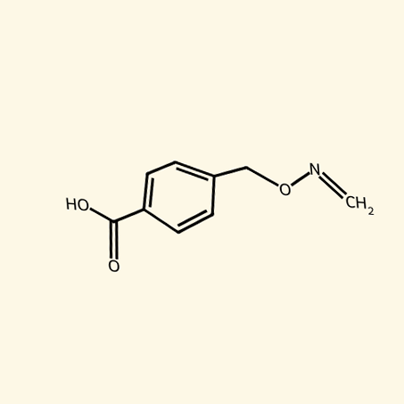 C=NOCc1ccc(C(=O)O)cc1